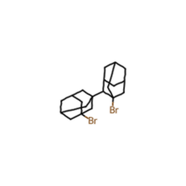 BrC12CC3CC(C1)CC(C1C4CC5CC(C4)CC1(Br)C5)(C3)C2